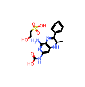 C[C@H]1Nc2cc(NC(=O)O)nc(N)c2N=C1c1ccccc1.O=S(=O)(O)CCO